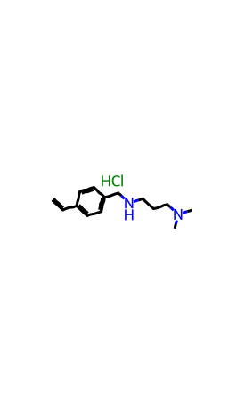 C=Cc1ccc(CNCCCN(C)C)cc1.Cl